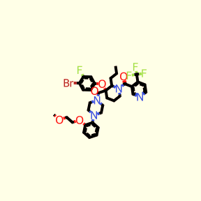 CCCC1N(C(=O)c2cnccc2C(F)(F)F)CCCC1(Oc1ccc(Br)c(F)c1)C(=O)N1CCN(c2ccccc2OCCOC)CC1